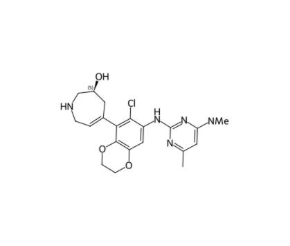 CNc1cc(C)nc(Nc2cc3c(c(C4=CCNC[C@@H](O)C4)c2Cl)OCCO3)n1